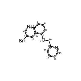 Brc1cnc2cccc(OCc3ccccn3)c2c1